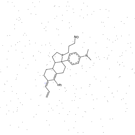 C=C/C=C1/CCC2C(=C1CCC)CCC1(c3ccc(N(C)C)cc3)C2CCP1CCCN=O